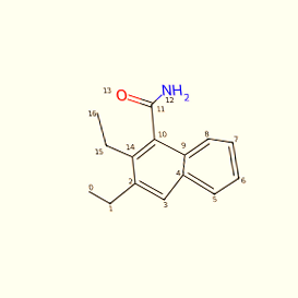 CCc1cc2ccccc2c(C(N)=O)c1CC